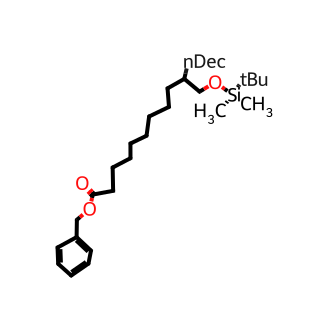 CCCCCCCCCCC(CCCCCCCCC(=O)OCc1ccccc1)CO[Si](C)(C)C(C)(C)C